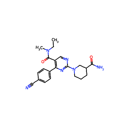 CCN(C)C(=O)c1cnc(N2CCCC(C(N)=O)C2)nc1-c1ccc(C#N)cc1